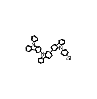 C[Si](C)(C)c1ccc(-n2c3ccccc3c3ccc(-c4ccc5c6ccccc6n(-c6ccc7c(c6)c6ccccc6n7-c6ccccc6)c5c4)cc32)cc1